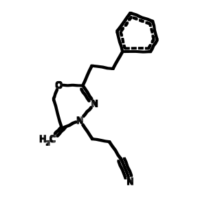 C=C1COC(CCc2ccccc2)=NN1CCC#N